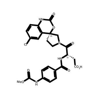 COC(=O)Nc1ccc(C(=O)N[C@@H](CC(=O)O)C(=O)N2CC[C@@]3(C2)OC(=O)Nc2ccc(Cl)cc23)cc1